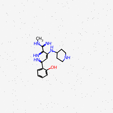 CNC(=N)C(=N)/C(=C\C(=N)c1ccccc1O)NC1CCNCC1